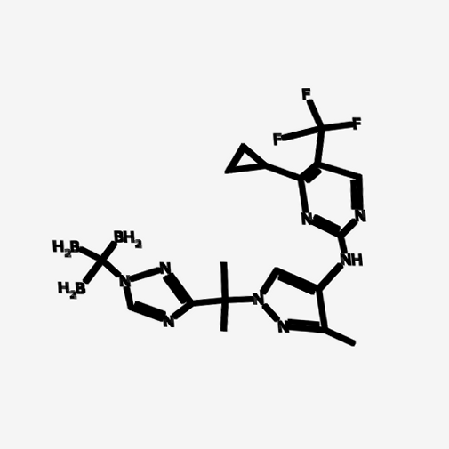 BC(B)(B)n1cnc(C(C)(C)n2cc(Nc3ncc(C(F)(F)F)c(C4CC4)n3)c(C)n2)n1